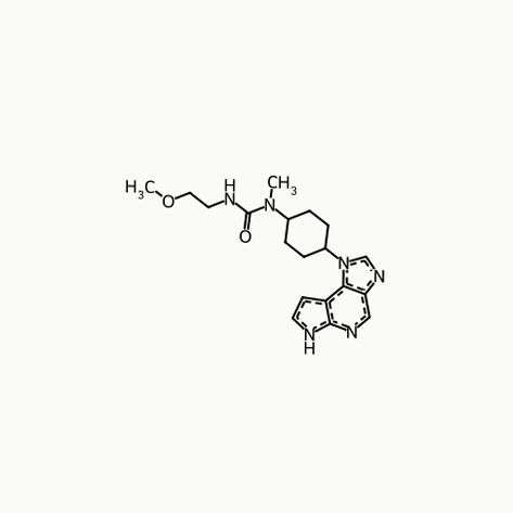 COCCNC(=O)N(C)C1CCC(n2cnc3cnc4[nH]ccc4c32)CC1